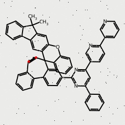 CC1(C)c2ccccc2-c2cc3c(cc21)Oc1ccccc1C31c2ccccc2-c2ccccc2-c2ccc(-c3nc(-c4ccccc4)cc(-c4ccc(-c5cccnc5)nc4)n3)cc21